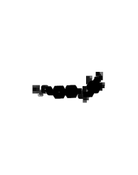 CC=CC1CCC(c2ccc(COC(F)(F)Cc3cc(F)c(C#N)c(F)c3)cc2)CC1